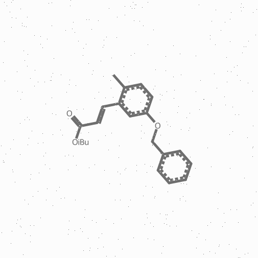 Cc1ccc(OCc2ccccc2)cc1/C=C/C(=O)OCC(C)C